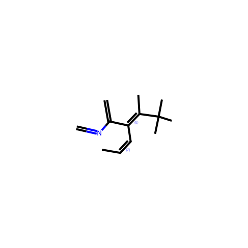 C=NC(=C)C(/C=C\C)=C(\C)C(C)(C)C